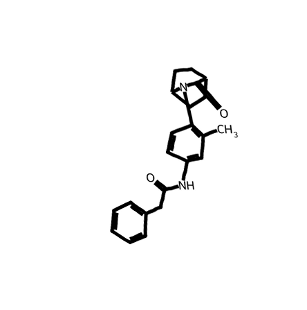 Cc1cc(NC(=O)Cc2ccccc2)ccc1N1C(=O)C2CCC1CC2